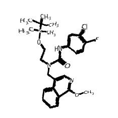 COc1ncc(CN(CCO[Si](C)(C)C(C)(C)C)C(=O)Nc2ccc(F)c(Cl)c2)c2ccccc12